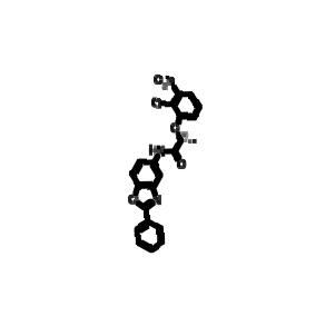 C[C@@H](Oc1cccc([N+](=O)[O-])c1Cl)C(=O)Nc1ccc2oc(-c3ccccc3)nc2c1